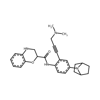 CN(C)CC#Cc1cc(N2C3CCC2CC3)ccc1NC(=O)C1CNc2ccccc2O1